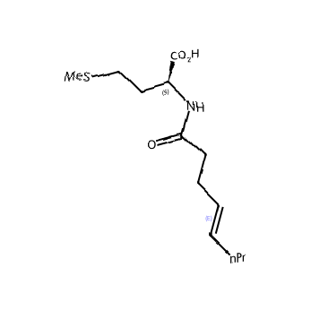 CCC/C=C/CCC(=O)N[C@@H](CCSC)C(=O)O